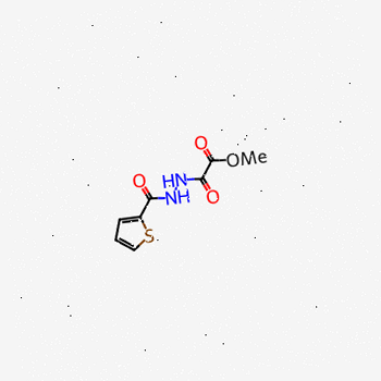 COC(=O)C(=O)NNC(=O)c1cccs1